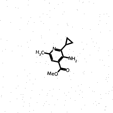 COC(=O)c1cc(C)nc(C2CC2)c1N